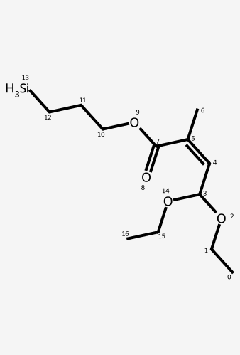 CCOC(C=C(C)C(=O)OCCC[SiH3])OCC